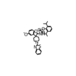 COc1cccc(C2(C(=O)NS(=O)(=O)Oc3c(C(C)C)cccc3C(C)C)CCN(c3nc4ccccc4s3)CC2)c1